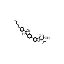 CCCCCc1ccc(C(=O)Nc2ccc(-c3ccc4c(c3)C(=O)N([C@H](C(=O)O)C(C)C)C4)cc2F)cc1